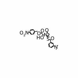 CN(C)c1cccc(C(=O)S[C@@H]2CC(=O)N2C(O)C(=O)OCc2ccc([N+](=O)[O-])cc2)c1